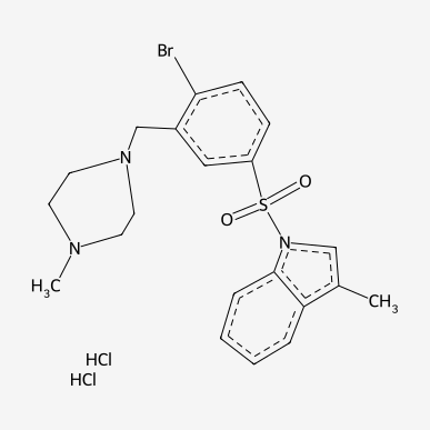 Cc1cn(S(=O)(=O)c2ccc(Br)c(CN3CCN(C)CC3)c2)c2ccccc12.Cl.Cl